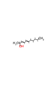 CCCCCC=CC=CC(C)O